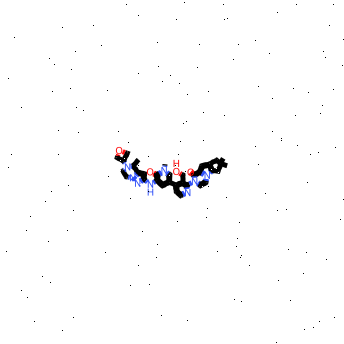 CC1c2cc(Nc3cc(-c4ccnc(-n5ccn6c7c(cc6c5=O)CC(C)(C)C7)c4CO)cn(C)c3=O)nn2CCN1C1COC1